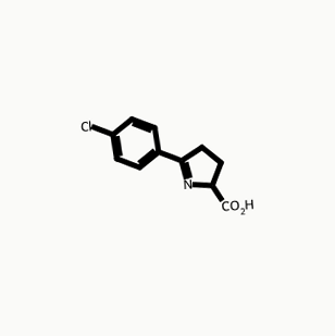 O=C(O)C1CCC(c2ccc(Cl)cc2)=N1